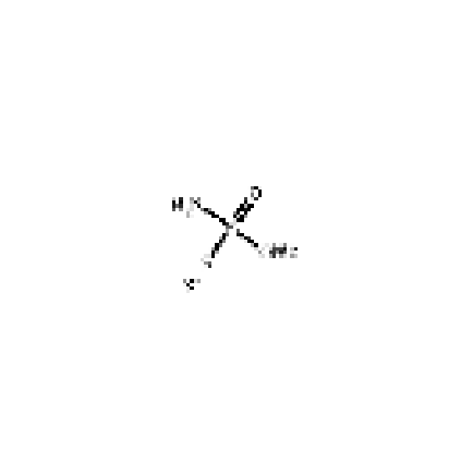 COP(N)(=O)[S-].[K+]